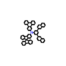 c1ccc2c(c1)-c1ccccc1C21c2ccccc2-c2cc(N(c3cc(-c4ccc5ccccc5c4)cc(-c4ccc5ccccc5c4)c3)c3ccc4c5ccccc5c5ccccc5c4c3)ccc21